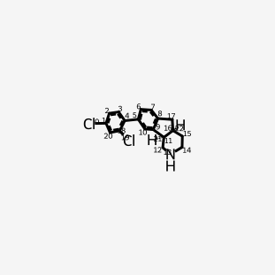 Clc1ccc(-c2ccc3c(c2)[C@@H]2CNCC[C@@H]2C3)c(Cl)c1